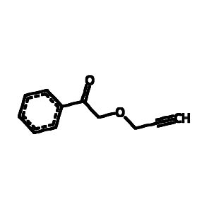 C#CCOCC(=O)c1ccccc1